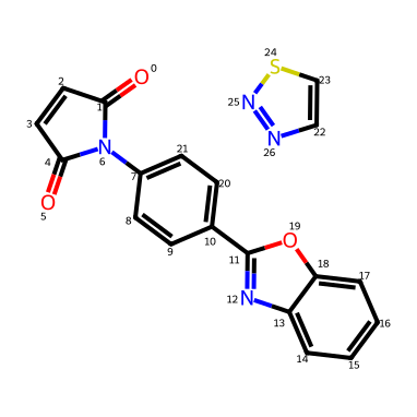 O=C1C=CC(=O)N1c1ccc(-c2nc3ccccc3o2)cc1.c1csnn1